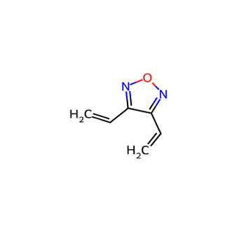 C=Cc1nonc1C=C